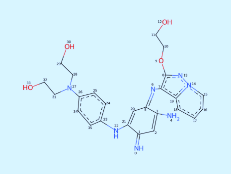 N=C1C=C(N)/C(=N\c2c(OCCO)nn3ccccc23)C=C1Nc1ccc(N(CCO)CCO)cc1